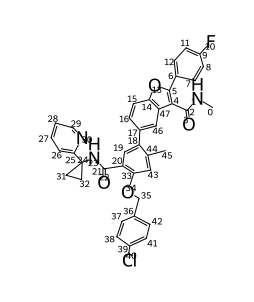 CNC(=O)c1c(-c2ccc(F)cc2)oc2ccc(-c3cc(C(=O)NC4(c5ccccn5)CC4)c(OCc4ccc(Cl)cc4)cc3C)cc12